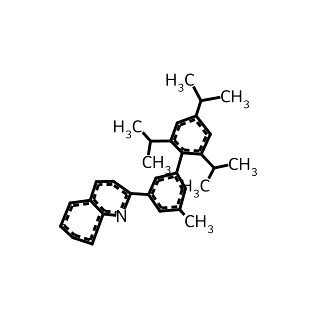 Cc1cc(-c2ccc3ccccc3n2)cc(-c2c(C(C)C)cc(C(C)C)cc2C(C)C)c1